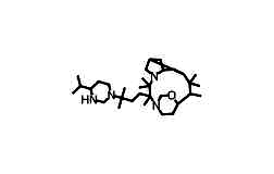 CC(C)C1CCN(C(C)(C)CCC2(C)N3CCC(OC3)C(C)C(C)(C)C3CC4CC3CN4C2(C)C)CN1